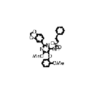 COc1ccccc1Oc1c(NS(=O)(=O)C=Cc2ccccc2)nc(-c2ccc3c(c2)OCO3)nc1OC